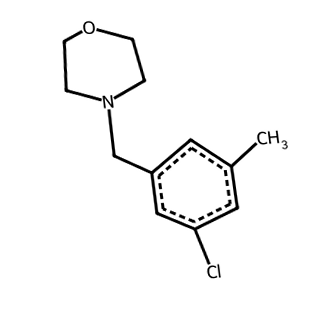 Cc1cc(Cl)cc(CN2CCOCC2)c1